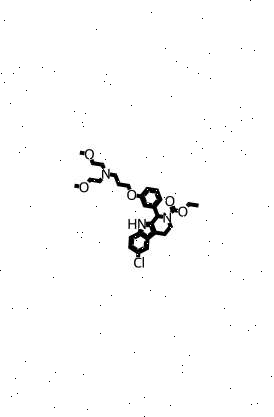 CCOC(=O)N1CCc2c([nH]c3ccc(Cl)cc23)C1c1cccc(OCCCN(CCOC)CCOC)c1